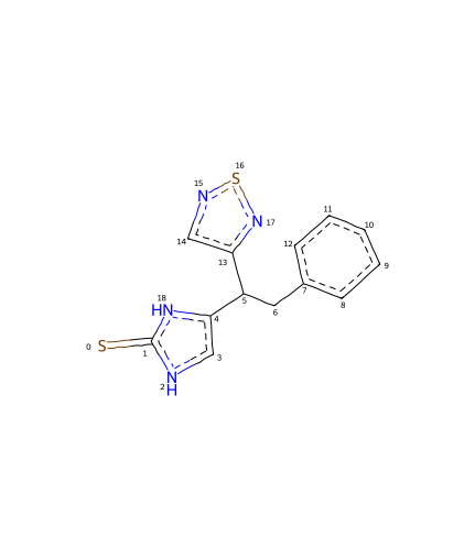 S=c1[nH]cc(C(Cc2ccccc2)c2cnsn2)[nH]1